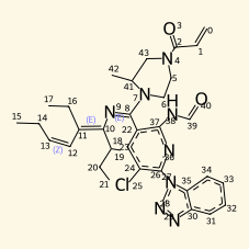 C=CC(=O)N1CCN(/C(=N/C(=C(/C=C\CC)CC)C(C)CC)c2cc(Cl)c(-n3nnc4ccccc43)nc2NC=O)C(C)C1